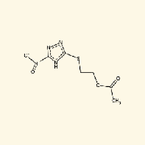 CC(=O)OCCSc1nnc([N+](=O)[O-])[nH]1